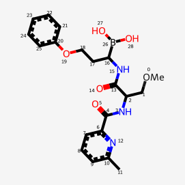 COCC(NC(=O)c1cccc(C)n1)C(=O)NC(CCOc1ccccc1)B(O)O